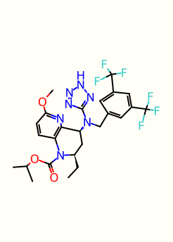 CC[C@@H]1C[C@H](N(Cc2cc(C(F)(F)F)cc(C(F)(F)F)c2)c2nn[nH]n2)c2nc(OC)ccc2N1C(=O)OC(C)C